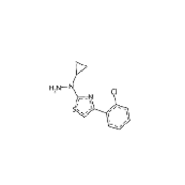 NN(c1nc(-c2ccccc2Cl)cs1)C1CC1